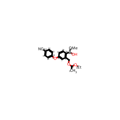 CCOC(C)OCc1cc(Oc2ccc(C#N)cc2)ccc1B(O)OC